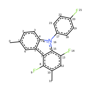 Cc1ccc2c(c1)c1c(F)c(C)cc(F)c1n2-c1ccc(F)cc1